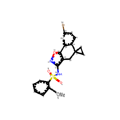 COc1ccccc1S(=O)(=O)Nc1noc2c1CC1(CC1)c1ccc(Br)cc1-2